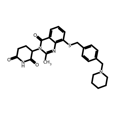 Cc1nc2c(SCc3ccc(CN4CCCCC4)cc3)cccc2c(=O)n1C1CCC(=O)NC1=O